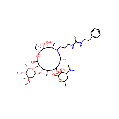 CC[C@H]1OC(=O)[C@H](C)[C@@H](O[C@H]2C[C@@](C)(OC)[C@@H](O)[C@H](C)O2)[C@H](C)[C@@H](O[C@@H]2O[C@H](C)C[C@H](N(C)C)[C@H]2O)[C@](C)(O)C[C@@H](C)CN(CCCNC(=S)NCCc2ccccc2)[C@H](C)[C@@H](O)[C@]1(C)O